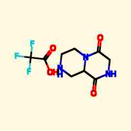 O=C(O)C(F)(F)F.O=C1NCC(=O)N2CCNCC12